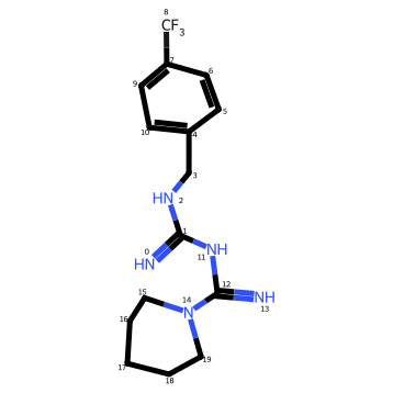 N=C(NCc1ccc(C(F)(F)F)cc1)NC(=N)N1CCCCC1